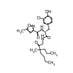 CCCCC(C)(CCC)C(=O)CNC(=O)[C@H](Cc1ccc(O)c(Cl)c1)NC(=O)c1cc(C)on1